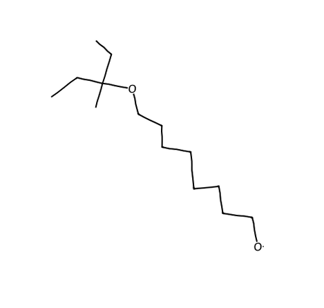 CCC(C)(CC)OCCCCCCCC[O]